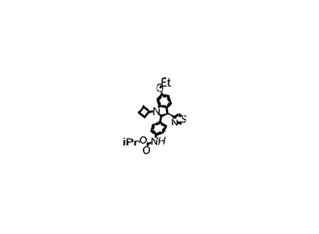 CCOc1ccc2c(c1)N(C1CCC1)C(c1ccc(NC(=O)OC(C)C)cc1)C2c1cscn1